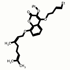 CCC=CCCOc1c(OC(C)C)c(=O)oc2c(OCC=C(C)CCC=C(C)C)cccc12